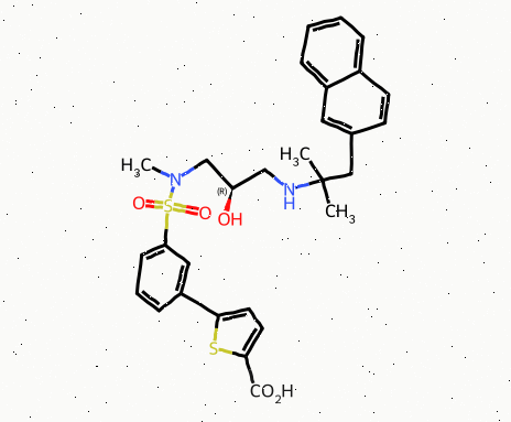 CN(C[C@H](O)CNC(C)(C)Cc1ccc2ccccc2c1)S(=O)(=O)c1cccc(-c2ccc(C(=O)O)s2)c1